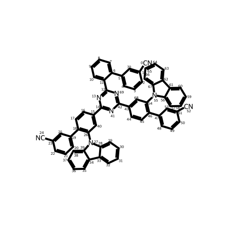 N#Cc1cccc(-c2ccccc2-c2nc(-c3ccc(-c4cccc(C#N)c4)c(-n4c5ccccc5c5ccccc54)c3)nc(-c3ccc(-c4cccc(C#N)c4)c(-n4c5ccccc5c5ccccc54)c3)n2)c1